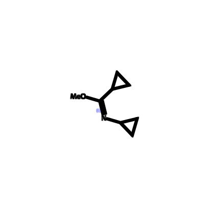 CO/C(=N/C1CC1)C1CC1